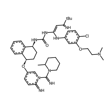 CC1CCCCN1C(=N)n1cc(O[C@@H]2CC[C@H](NC(=O)N/C(=C/C(=N)C(C)(C)C)Nc3ccc(Cl)c(OCCN(C)C)c3)c3ccccc32)ccc1=N